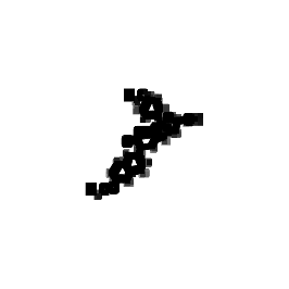 COc1ccc2cc([C@H](CCCN(CCO)S(=O)(=O)c3ccc(C)cc3)C(=O)O)ccc2c1